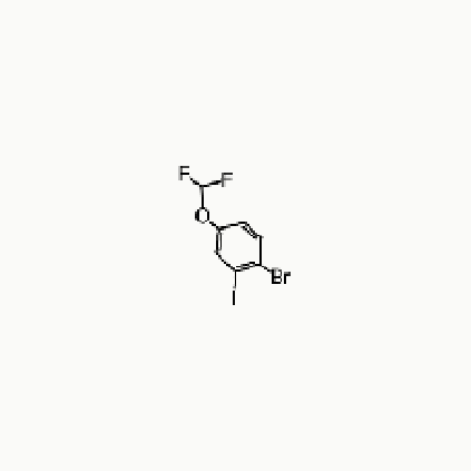 FC(F)Oc1ccc(Br)c(I)c1